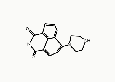 O=C1NC(=O)c2ccc(N3CCNCC3)c3cccc1c23